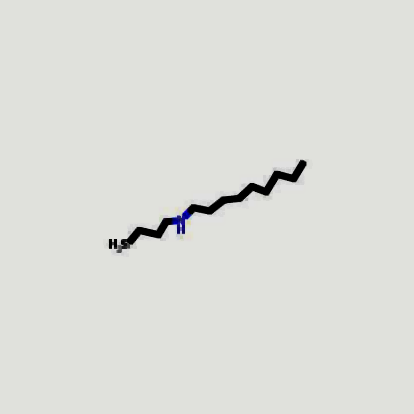 CCCCCCCCCNCCC[SiH3]